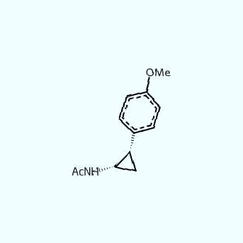 COc1ccc([C@@H]2C[C@@H]2NC(C)=O)cc1